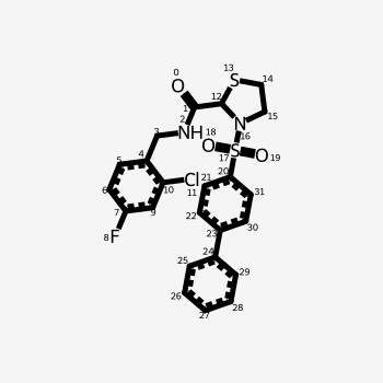 O=C(NCc1ccc(F)cc1Cl)C1SCCN1S(=O)(=O)c1ccc(-c2ccccc2)cc1